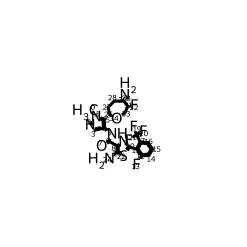 Cn1ncc(NC(=O)c2nc(-c3c(F)cccc3C(F)(F)F)sc2N)c1[C@@H]1CC[C@@H](N)[C@@H](F)CO1